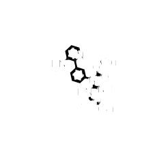 CC(C)(C)OC(=O)NC(=N)N(C(=O)OC(C)(C)C)c1cccc(-c2ncccc2N)c1